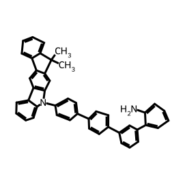 CC1(C)c2ccccc2-c2cc3c4ccccc4n(-c4ccc(-c5ccc(-c6cccc(-c7ccccc7N)c6)cc5)cc4)c3cc21